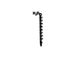 COB=BB=BB=BB=BB=S